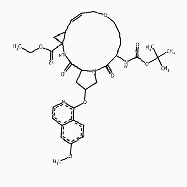 CCOC(=O)C12CC1/C=C\COCCCC(NC(=O)OC(C)(C)C)C(=O)N1CC(Oc3nccc4cc(OC)ccc34)CC1C(=O)N2